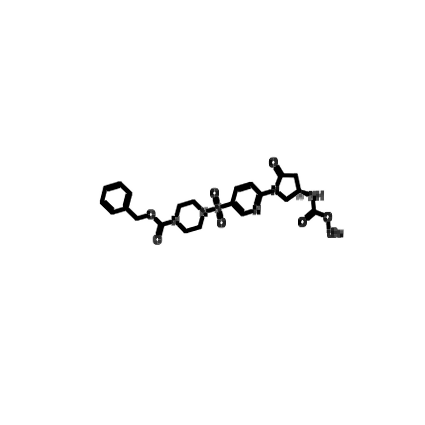 CC(C)(C)OC(=O)N[C@@H]1CC(=O)N(c2ccc(S(=O)(=O)N3CCN(C(=O)OCc4ccccc4)CC3)cn2)C1